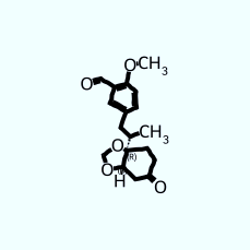 COc1ccc(CC(C)[C@]23CCC(=O)C[C@H]2OCO3)cc1C=O